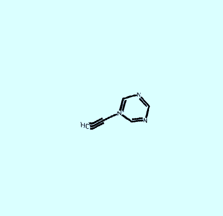 C#C[n+]1cncnc1